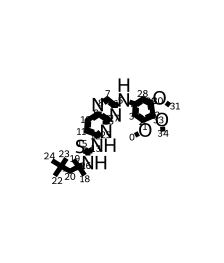 COc1cc(Nc2cnc3ccc(NC(=S)NC(C)(C)CC(C)(C)C)nc3n2)cc(OC)c1OC